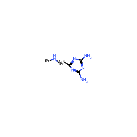 CC(C)NC(C)C.CNc1nc(N)nc(N)n1